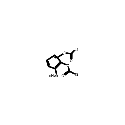 CCCCCCCCCc1cccc(OC(=O)CC)c1OC(=O)CC